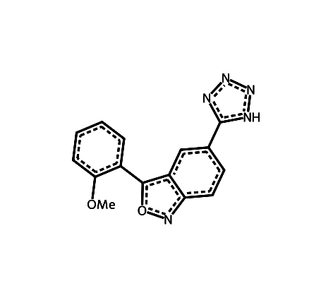 COc1ccccc1-c1onc2ccc(-c3nnn[nH]3)cc12